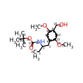 CCC(Cc1cc(OC)c(CO)cc1OC)NC(=O)OC(C)(C)C